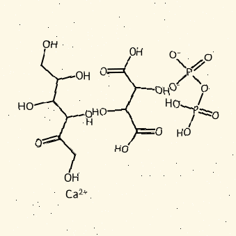 O=C(CO)C(O)C(O)C(O)CO.O=C(O)C(O)C(O)C(=O)O.O=P([O-])([O-])OP(=O)(O)O.[Ca+2]